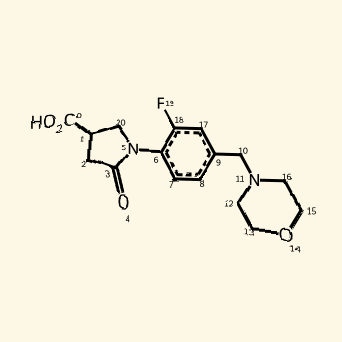 O=C(O)C1CC(=O)N(c2ccc(CN3CCOCC3)cc2F)C1